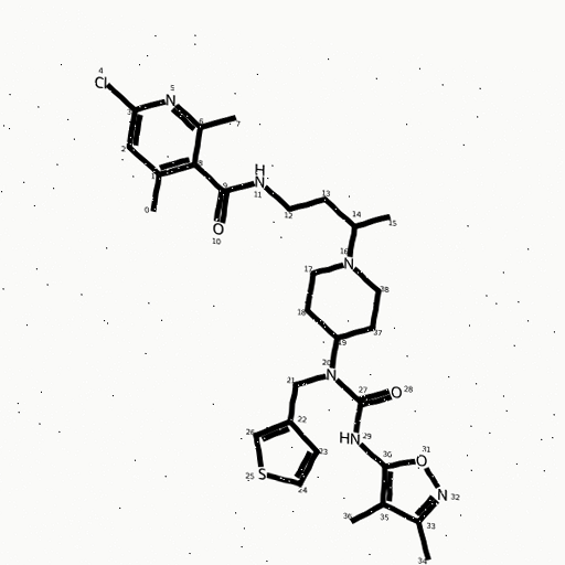 Cc1cc(Cl)nc(C)c1C(=O)NCCC(C)N1CCC(N(Cc2ccsc2)C(=O)Nc2onc(C)c2C)CC1